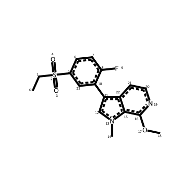 CCS(=O)(=O)c1ccc(F)c(-c2cn(C)c3c(OC)nccc23)c1